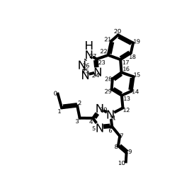 CC=CCc1nc(CC=CC)n(Cc2ccc(-c3ccccc3-c3nnn[nH]3)cc2)n1